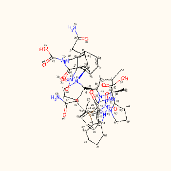 CC1C[C@H](C2CCCN2[C@]2(C(=O)NC(=O)O)c3ccc(cc3[N+](=O)[O-])C2(C)CC(N)=O)N(c2nc3c(s2)CCCC3)[C@@]1(C)C1CCCN1[C@]1(C(=O)NC(=O)O)c2ccc(cc2[N+](=O)[O-])C1(C)CC(N)=O